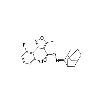 Cc1onc(-c2c(F)cccc2Cl)c1C(=O)ON=C1C2CC3CC(C2)CC1C3